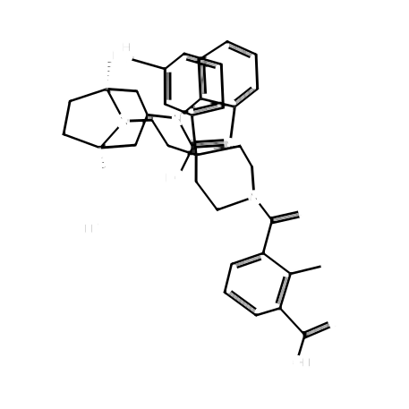 Cc1cccc(C2(CCN3[C@@H]4CC[C@H]3CC(n3c(C)nc5ccccc53)C4)CCN(C(=O)c3cccc(C(=O)O)c3C)CC2)c1.Cl